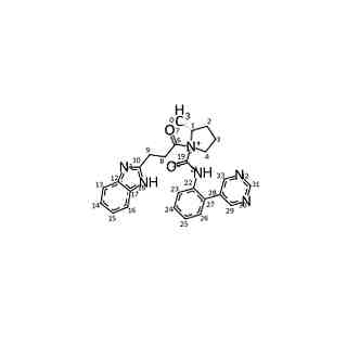 C[C@@H]1CCC[N+]1(C(=O)CCc1nc2ccccc2[nH]1)C(=O)Nc1ccccc1-c1cncnc1